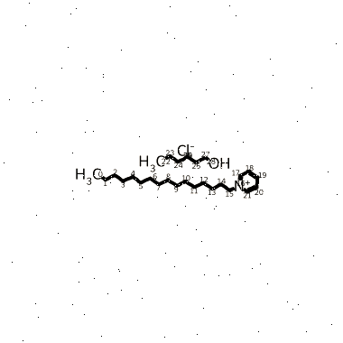 CCCCCCCCCCCCCCCC[n+]1ccccc1.CCCCCCO.[Cl-]